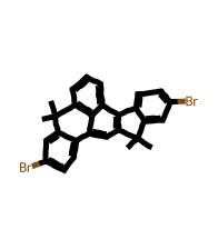 CC1(C)c2cc(Br)ccc2-c2c1cc1c3c(cccc23)C(C)(C)c2cc(Br)ccc2-1